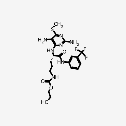 CSc1nc(N)nc(N[C@@H](CCCNC(=O)OCCO)C(=O)Nc2cccc(C(F)(F)F)c2)c1N